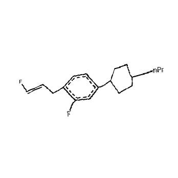 CCCC1CCC(c2ccc(C/C=C/F)c(F)c2)CC1